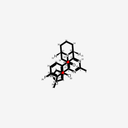 Cc1nc(C2=CN(C)NC2)c2c(n1)[C@H]1CCC[C@@H](C2)N1C(=O)c1ccc(F)c(Cl)c1Cl